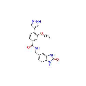 COc1cc(C(=O)NCC2=CCC3NC(=O)NC3=C2)ccc1-c1cn[nH]c1